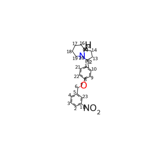 O=[N+]([O-])c1cccc(COc2ccc([C@H]3CC[C@H]4CCCCN43)cc2)c1